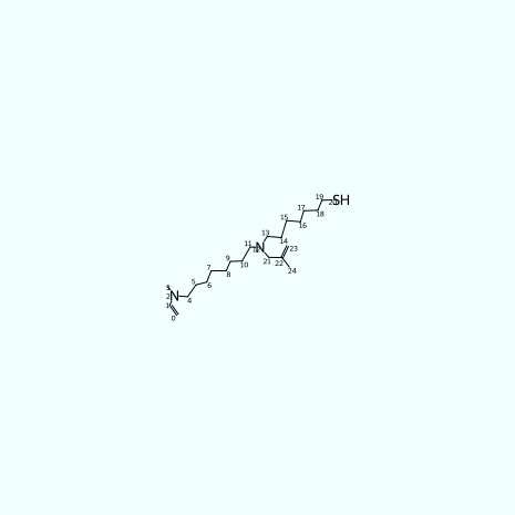 C=CN(C)CCCCCCCCN(CCCCCCCS)CC(=C)C